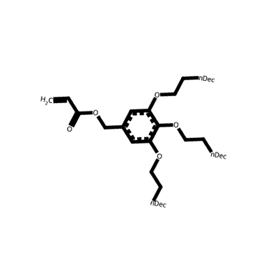 C=CC(=O)OCc1cc(OCCCCCCCCCCCC)c(OCCCCCCCCCCCC)c(OCCCCCCCCCCCC)c1